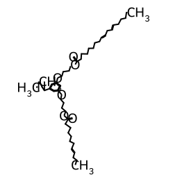 CCCC=CCCCCCCC(=O)OCCCCOc1cc(CN(C)C)cc(OCCCCOC(=O)CCCCCCCC=CCC=CCCCCC)c1